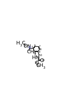 CO/N=C(\C)c1cccc(CNC(=O)OC)c1